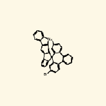 Brc1ccc2c(c1)C1(c3cc(Br)ccc3-c3ccccc3-2)c2ccccc2-c2cc3c(cc21)oc1ccccc13